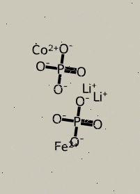 O=P([O-])([O-])[O-].O=P([O-])([O-])[O-].[Co+2].[Fe+2].[Li+].[Li+]